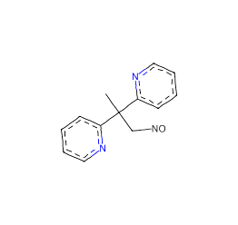 CC(CN=O)(c1ccccn1)c1ccccn1